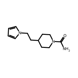 NC(=O)N1CCC(CCn2cccc2)CC1